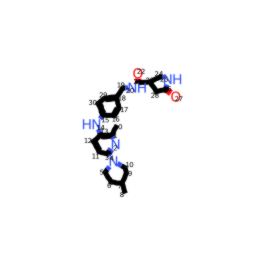 Cc1nc(N2CCC(C)CC2)ccc1Nc1ccc(CNC(=O)C2CNC(=O)C2)cc1